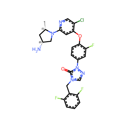 C[C@H]1C[C@@H](N)CN1c1cc(Oc2ccc(-n3ncn(Cc4c(F)cccc4F)c3=O)cc2F)c(Cl)cn1